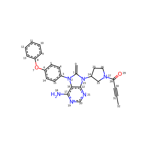 C=C1N(c2ccc(Oc3ccccc3)cc2)c2c(N)ncnc2N1C1CCN(C(=O)C#CC)C1